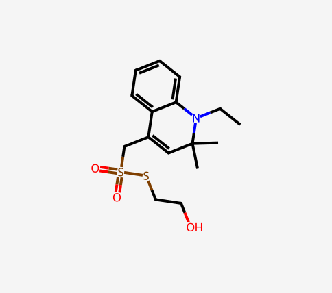 CCN1c2ccccc2C(CS(=O)(=O)SCCO)=CC1(C)C